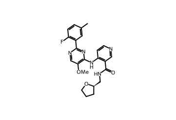 COc1cnc(-c2cc(C)ccc2F)nc1Nc1ccncc1C(=O)NC[C@H]1CCCO1